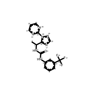 CC(NC(=O)Nc1cccc(C(F)(F)F)c1)c1ncnn1-c1ncccn1